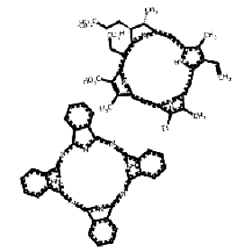 C=Cc1c(C)c2cc3nc(c(CC(=O)O)c4nc(cc5[nH]c(cc1[nH]2)c(C)c5CC)C(C)=C4C(=O)O)[C@@H](CCC(=O)O)[C@@H]3C.[Cu].c1ccc2c(c1)-c1nc-2nc2[nH]c(nc3nc(nc4[nH]c(n1)c1ccccc41)-c1ccccc1-3)c1ccccc21